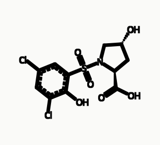 O=C(O)[C@@H]1C[C@@H](O)CN1S(=O)(=O)c1cc(Cl)cc(Cl)c1O